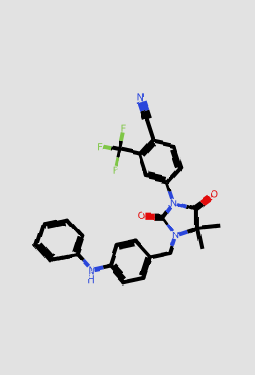 CC1(C)C(=O)N(c2ccc(C#N)c(C(F)(F)F)c2)C(=O)N1Cc1ccc(Nc2ccccc2)cc1